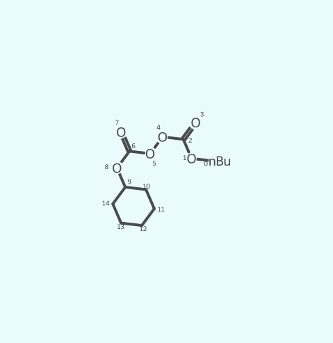 CCCCOC(=O)OOC(=O)OC1CCCCC1